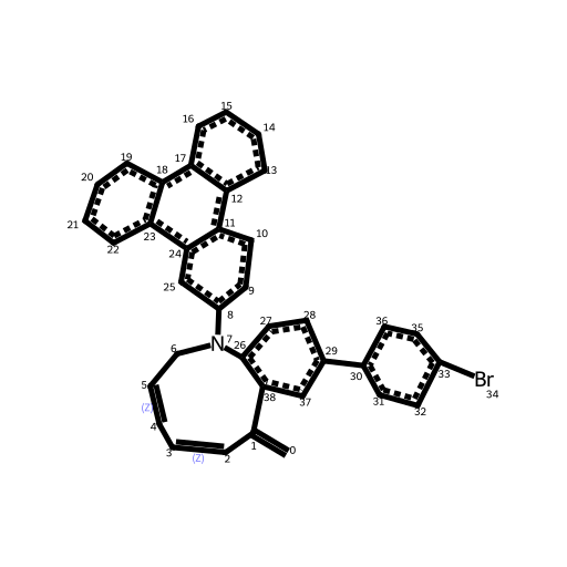 C=C1/C=C\C=C/CN(c2ccc3c4ccccc4c4ccccc4c3c2)c2ccc(-c3ccc(Br)cc3)cc21